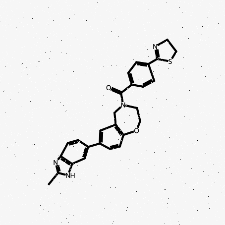 Cc1nc2ccc(-c3ccc4c(c3)CN(C(=O)c3ccc(C5=NCCS5)cc3)CCO4)cc2[nH]1